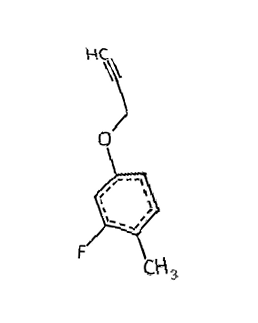 C#CCOc1ccc(C)c(F)c1